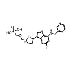 O=P(O)(O)COC[C@@H]1CCC(n2cnc3c(NCc4cccnc4)nc(Cl)nc32)O1